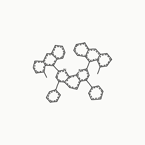 Cc1cccc2cc3ccccc3c(-c3cc(-c4ccccc4)c4ccc5c(-c6ccccc6)cc(-c6c7ccccc7cc7cccc(C)c67)nc5c4n3)c12